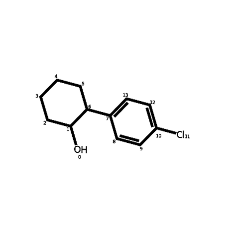 OC1CCCCC1c1ccc(Cl)cc1